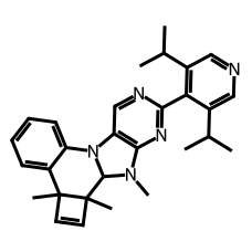 CC(C)c1cncc(C(C)C)c1-c1ncc2c(n1)N(C)C1N2c2ccccc2C2(C)C=CC12C